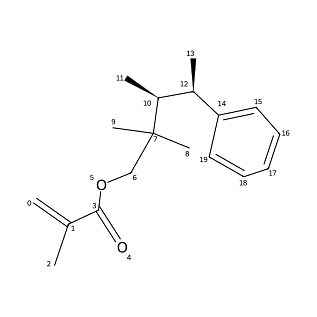 C=C(C)C(=O)OCC(C)(C)[C@@H](C)[C@@H](C)c1ccccc1